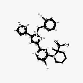 CC1(C(=O)O)CCCCN1c1nc(-c2cc(-c3ccon3)n(Cc3ccccc3F)n2)ncc1F